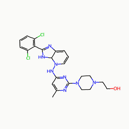 Cc1cc(NN2C=CC=C3N=C(c4c(Cl)cccc4Cl)NC32)nc(N2CCN(CCO)CC2)n1